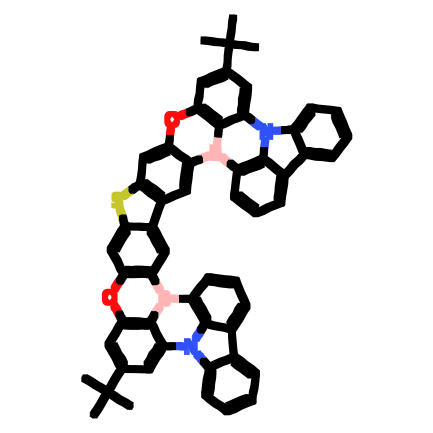 CC(C)(C)c1cc2c3c(c1)-n1c4ccccc4c4cccc(c41)B3c1cc3c(cc1O2)sc1cc2c(cc13)B1c3c(cc(C(C)(C)C)cc3-n3c4ccccc4c4cccc1c43)O2